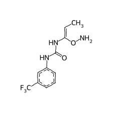 C/C=C(/NC(=O)Nc1cccc(C(F)(F)F)c1)ON